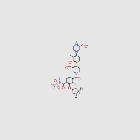 COC[C@H]1CN(c2ccc3c4c(c(=O)oc3c2C)CN(C(=O)c2ccc(C(=O)NS(=O)(=O)N(C)C)c(OC3C[C@@H]5C[C@@H]5C3)c2F)CC4)CCN1C